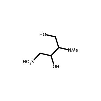 CNC(CO)C(O)CS(=O)(=O)O